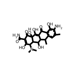 Cc1cc2c(c(O)c1N)C(=O)C1=C(O)C3(O)C(=O)C(C(N)=O)=C(O)C(N(C)C)C3C(O)C1C2C